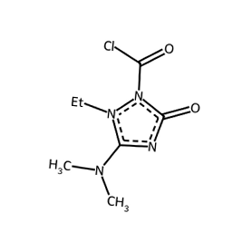 CCn1c(N(C)C)nc(=O)n1C(=O)Cl